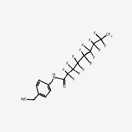 N#CCc1ccc(NC(=O)C(F)(F)C(F)(F)C(F)(F)C(F)(F)C(F)(F)C(F)(F)C(F)(F)C(F)(F)F)cc1